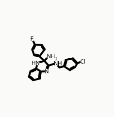 NC1(c2ccc(F)cc2)Nc2ccccc2N=C1NCc1ccc(Cl)cc1